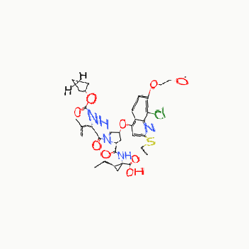 C=C(C)[C@H](NC(=O)O[C@@H]1C[C@@H]2C[C@@H]2C1)C(=O)N1C[C@H](Oc2cc(SCC)nc3c(Cl)c(OCCOC)ccc23)C[C@H]1C(=O)N[C@]1(C(=O)O)C[C@H]1CC